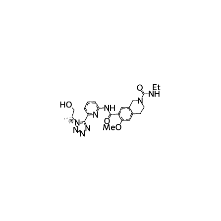 CCNC(=O)N1CCc2cc(OC)c(C(=O)Nc3cccc(-c4nnnn4[C@H](C)CO)n3)cc2C1